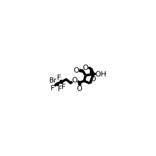 O=C(OCCC(F)(F)C(F)(F)Br)C1C2OC3C(OC(=O)C31)C2O